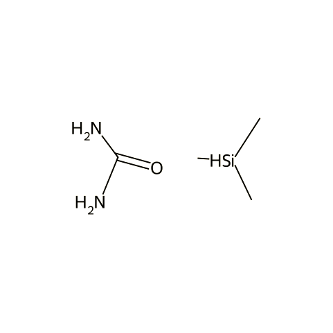 C[SiH](C)C.NC(N)=O